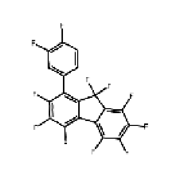 Fc1ccc(-c2c(F)c(F)c(F)c3c2C(F)(F)c2c(F)c(F)c(F)c(F)c2-3)cc1F